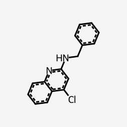 Clc1cc(NCc2ccccc2)nc2ccccc12